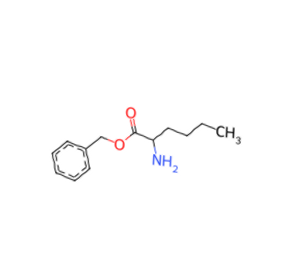 CCCCC(N)C(=O)OCc1ccccc1